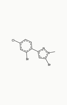 Cn1nc(-c2ccc(Cl)cc2Br)cc1Br